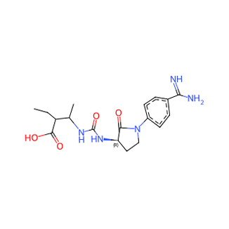 CCC(C(=O)O)C(C)NC(=O)N[C@@H]1CCN(c2ccc(C(=N)N)cc2)C1=O